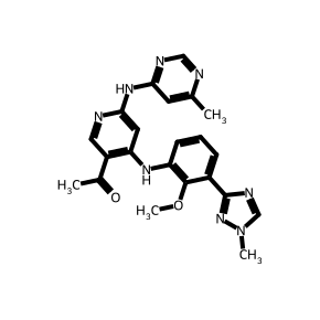 COc1c(Nc2cc(Nc3cc(C)ncn3)ncc2C(C)=O)cccc1-c1ncn(C)n1